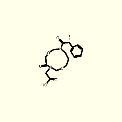 C[C@@H](C(=O)N1CCCCCN(CC(=O)O)C(=O)COC1)c1ccccc1